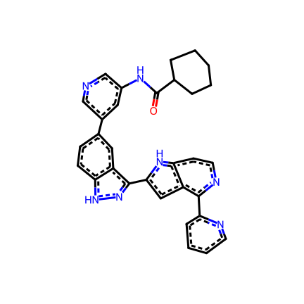 O=C(Nc1cncc(-c2ccc3[nH]nc(-c4cc5c(-c6ccccn6)nccc5[nH]4)c3c2)c1)C1CCCCC1